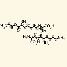 CC(C)[C@H](N)C(=O)O.C[C@@H](OC(=O)[C@@H](N)CCCCN)[C@H](N)C(=O)O.NCCCC[C@H](N)C(=O)OC(=O)CN